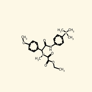 CCOC(=O)C(=O)N(C)C(C(=O)Nc1ccc(S(C)(C)C)cc1)c1ccc(OC)cc1